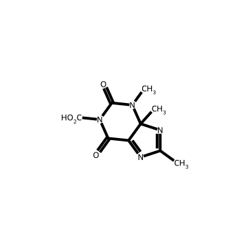 CC1=NC2(C)C(=N1)C(=O)N(C(=O)O)C(=O)N2C